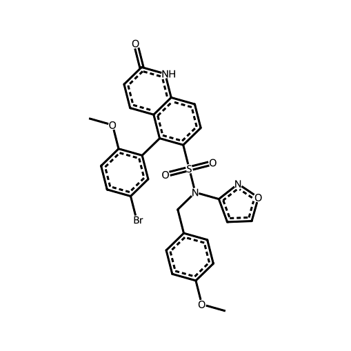 COc1ccc(CN(c2ccon2)S(=O)(=O)c2ccc3[nH]c(=O)ccc3c2-c2cc(Br)ccc2OC)cc1